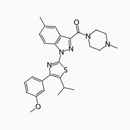 COc1cccc(-c2nc(-n3nc(C(=O)N4CCN(C)CC4)c4cc(C)ccc43)sc2C(C)C)c1